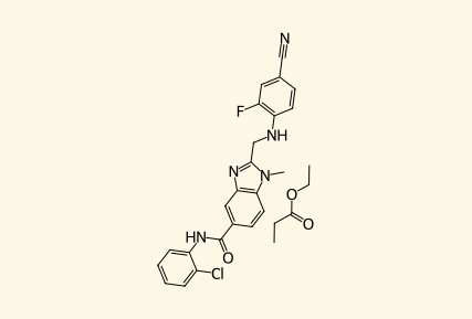 CCOC(=O)CC.Cn1c(CNc2ccc(C#N)cc2F)nc2cc(C(=O)Nc3ccccc3Cl)ccc21